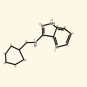 c1cnc2c(NCC3CCCCC3)n[nH]c2c1